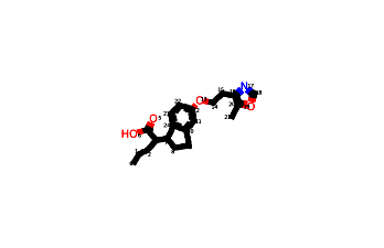 CCCC(C(=O)O)C1CCc2cc(OCCc3ncoc3C)ccc21